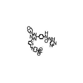 CS(=O)(=O)N1CCN(Cc2ccc(-c3nc(-c4ccc(NC(=O)Nc5cncnc5)cc4)nc(N4CCOCC4)n3)s2)CC1